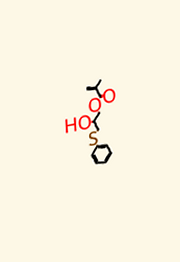 C=C(C)C(=O)OCC(O)CSc1ccccc1